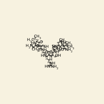 CC(C)C[C@H](NC(=O)[C@H](C)N)C(=O)N[C@@H](CS)C(=O)NCC(=O)N[C@@H](CCCNC(=N)N)C(=O)N[C@@H](CO)C(=O)N[C@@H](CS)C(=O)N[C@@H](CC(C)C)C(=O)N[C@H](C(N)=O)C(C)C